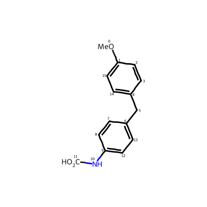 COc1ccc(Cc2ccc(NC(=O)O)cc2)cc1